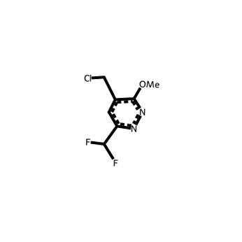 COc1nnc(C(F)F)cc1CCl